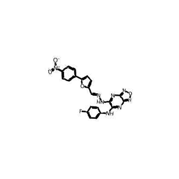 O=[N+]([O-])c1ccc(-c2ccc(C=NNc3nc4nonc4nc3Nc3ccc(F)cc3)o2)cc1